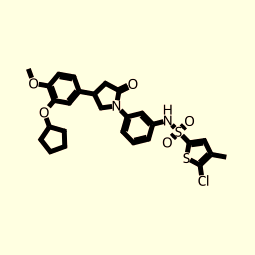 COc1ccc(C2CC(=O)N(c3cccc(NS(=O)(=O)c4cc(C)c(Cl)s4)c3)C2)cc1OC1CCCC1